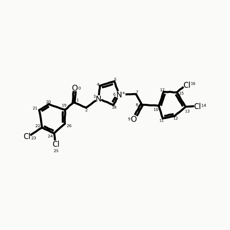 O=C(Cn1cc[n+](CC(=O)c2ccc(Cl)c(Cl)c2)c1)c1ccc(Cl)c(Cl)c1